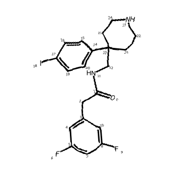 O=C(Cc1cc(F)cc(F)c1)NCC1(c2ccc(I)cc2)CCNCC1